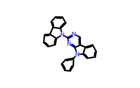 c1ccc(-n2c3ccccc3c3cnc(-n4c5ccccc5c5ccccc54)nc32)cc1